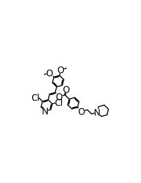 COc1ccc(C(=Cc2c(Cl)cncc2Cl)OC(=O)c2ccc(OCCN3CCCCC3)cc2)cc1OC